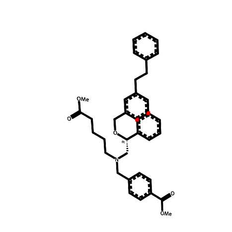 COC(=O)CCCCN(Cc1ccc(C(=O)OC)cc1)C[C@H](OCc1cccc(CCc2ccccc2)c1)c1ccccc1